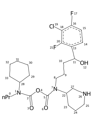 CCCN(C(=O)OC(=O)N(CCCC(O)c1ccc(F)c(Cl)c1F)C1CCCNC1)C1CCCCC1